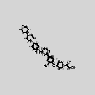 N#Cc1cc(C2=NCNC(Nc3ccc(N4CCN(C5CCOCC5)CC4)cc3)=N2)ccc1O[C@H]1CCN(C(=O)CO)C[C@H]1F